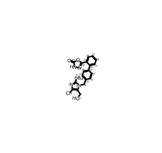 CCCCc1nc(Cl)c(CO)n1Cc1ccc(-c2ccccc2-c2n[nH]c(=O)o2)cc1